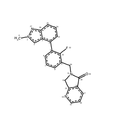 Cn1cc2c(-c3cccc(CN4Cc5ncccc5C4=O)c3F)cccc2n1